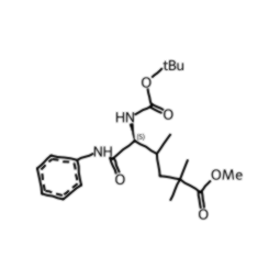 COC(=O)C(C)(C)CC(C)[C@H](NC(=O)OC(C)(C)C)C(=O)Nc1ccccc1